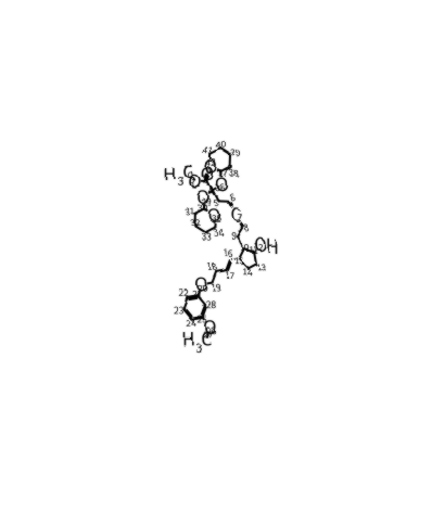 COC(=O)C(CC=C=CC[C@H]1[C@@H](O)CC[C@@H]1/C=C/CCOc1cccc(OC)c1)(OC1CCCCO1)OC1CCCCO1